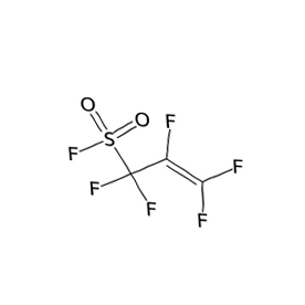 O=S(=O)(F)C(F)(F)C(F)=C(F)F